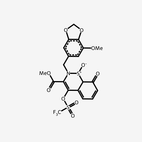 COC(=O)C1=C(OS(=O)(=O)C(F)(F)F)C2=CC=CC(=O)C2[S+]([O-])N1Cc1cc(OC)c2c(c1)OCO2